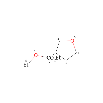 C1CCOC1.CCOC(=O)OCC